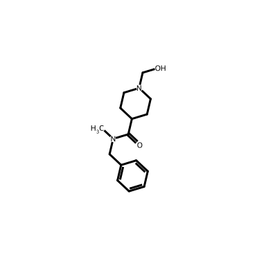 CN(Cc1ccccc1)C(=O)C1CCN(CO)CC1